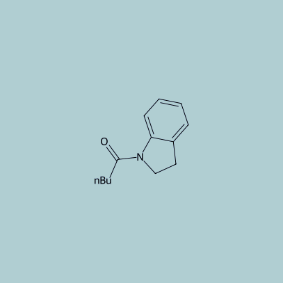 CCCCC(=O)N1CCc2ccccc21